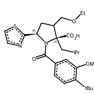 CCOCC1C[C@H](c2nccs2)N(C(=O)c2ccc(C(C)(C)C)c(OC)c2)[C@]1(CC(C)C)C(=O)O